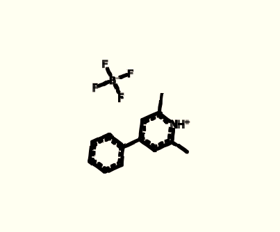 Cc1cc(-c2ccccc2)cc(C)[nH+]1.F[B-](F)(F)F